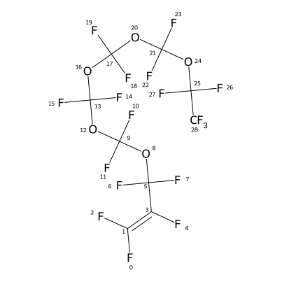 FC(F)=C(F)C(F)(F)OC(F)(F)OC(F)(F)OC(F)(F)OC(F)(F)OC(F)(F)C(F)(F)F